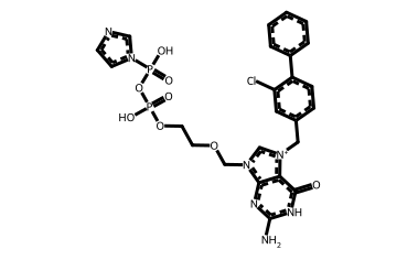 Nc1nc2c(c(=O)[nH]1)[n+](Cc1ccc(-c3ccccc3)c(Cl)c1)cn2COCCOP(=O)(O)OP(=O)(O)n1ccnc1